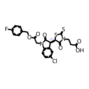 O=C(O)CCN1C(=O)/C(=C2/C(=O)N(CC(=O)OCc3ccc(F)cc3)c3ccc(Cl)cc32)SC1=S